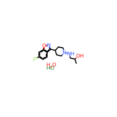 CC(O)CNN1CCC(c2noc3cc(F)ccc23)CC1.Cl.O